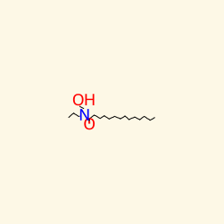 CCCCCCCCCCCCCC(=O)N(CCC)CCO